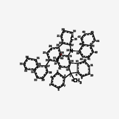 CC1(c2ccccc2)c2ccccc2-c2c(N(c3ccccc3-c3ccc(-c4cccc5ccccc45)cc3)c3cccc4ccccc34)cccc21